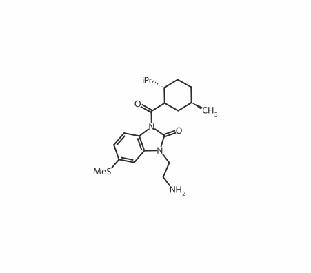 CSc1ccc2c(c1)n(CCN)c(=O)n2C(=O)C1C[C@H](C)CC[C@H]1C(C)C